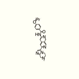 CC(C)Oc1ccc(C(=O)Nc2cc3cc(-c4cnc5n4CCN(C)C5)ncc3cn2)cc1